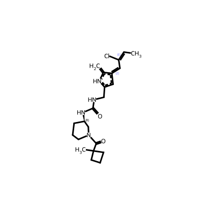 C=c1[nH]c(CNC(=O)N[C@@H]2CCCN(C(=O)C3(C)CCC3)C2)c/c1=C/C(Cl)=C\C